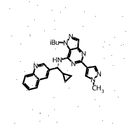 CCC(C)n1ncc2nc(-c3cnn(C)c3)nc(N[C@@H](c3cnc4ccccc4c3)C3CC3)c21